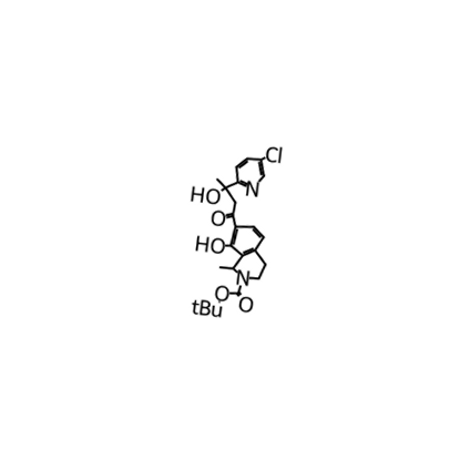 CC1c2c(ccc(C(=O)CC(C)(O)c3ccc(Cl)cn3)c2O)CCN1C(=O)OC(C)(C)C